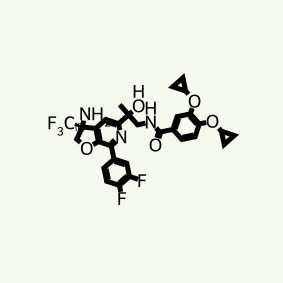 CC(O)(CNC(=O)c1ccc(OC2CC2)c(OC2CC2)c1)c1cc2c(c(-c3ccc(F)c(F)c3)n1)OC[C@@]2(N)C(F)(F)F